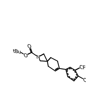 CC(C)(C)OC(=O)N1CC2(CC=C(c3ccc(O)c(C(F)(F)F)c3)CC2)C1